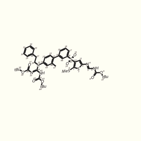 CSc1sc(/N=C/NC(=O)OC(C)(C)C)cc1S(=O)(=O)c1cccc(-c2ccc(N(CCc3ccccc3)/C(=N\C(=O)OC(C)(C)C)NC(=O)OC(C)(C)C)cc2C)c1